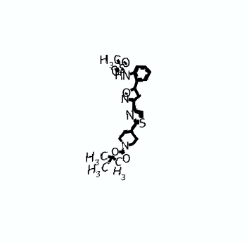 CC(C)(C)OC(=O)N1CCC(c2nc(C3=NOC(c4ccccc4NS(C)(=O)=O)C3)cs2)CC1